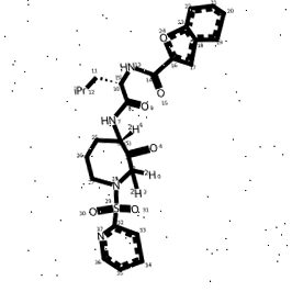 [2H]C1([2H])C(=O)[C@@]([2H])(NC(=O)[C@H](CC(C)C)NC(=O)c2cc3ccccc3o2)CCCN1S(=O)(=O)c1ccccn1